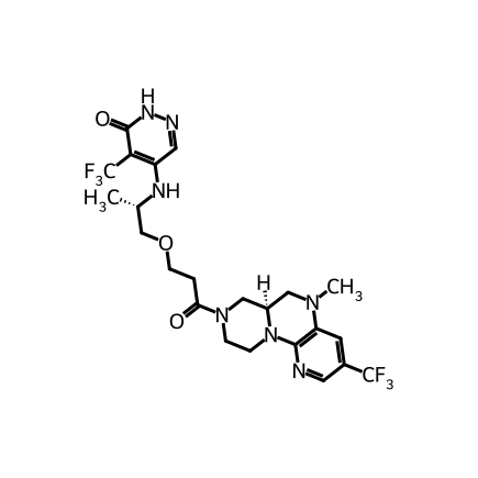 C[C@@H](COCCC(=O)N1CCN2c3ncc(C(F)(F)F)cc3N(C)C[C@@H]2C1)Nc1cn[nH]c(=O)c1C(F)(F)F